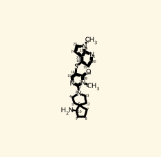 Cn1c(N2CCC3(CCC[C@H]3N)CC2)ncc(Sc2ccnc3c2ccn3C)c1=O